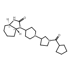 O=C(C1CCCC1)N1CCC(N2CCC(N3C(=O)N[C@@H]4CCCC[C@H]43)CC2)C1